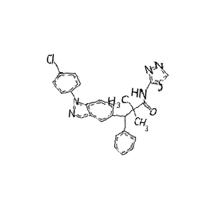 CC(C)(C(=O)Nc1nncs1)C(c1ccccc1)c1ccc2c(cnn2-c2ccc(Cl)cc2)c1